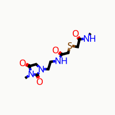 CNC(=O)CSCC(=O)NCCN1CC(=O)N(C)C1=O